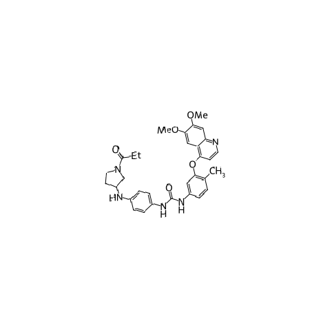 CCC(=O)N1CCC(Nc2ccc(NC(=O)Nc3ccc(C)c(Oc4ccnc5cc(OC)c(OC)cc45)c3)cc2)C1